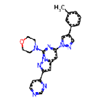 Cc1cccc(-c2cnn(-c3cc4cc(-c5ccncn5)nn4c(N4CCOCC4)n3)c2)c1